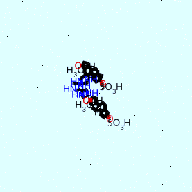 C1CNCCN1.C1CNCCN1.C1CNCCN1.C[C@]12CC[C@@H]3c4ccc(OS(=O)(=O)O)cc4CC[C@H]3[C@@H]1CCC2=O.C[C@]12CC[C@@H]3c4ccc(OS(=O)(=O)O)cc4CC[C@H]3[C@@H]1CCC2=O